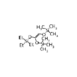 CC[Si](CC)(CC)OC(=CO[Si](C)(C)C)O[Si](C)(C)C